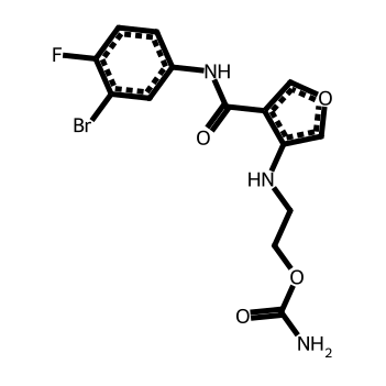 NC(=O)OCCNc1cocc1C(=O)Nc1ccc(F)c(Br)c1